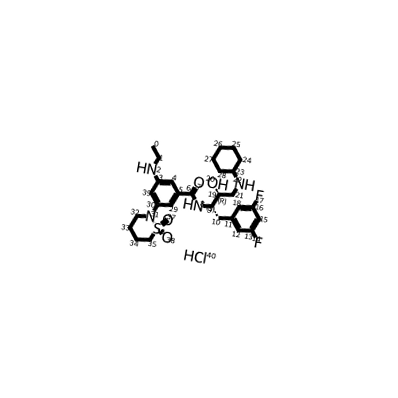 CCNc1cc(C(=O)N[C@@H](Cc2cc(F)cc(F)c2)[C@H](O)CNC2CCCCC2)cc(N2CCCCS2(=O)=O)c1.Cl